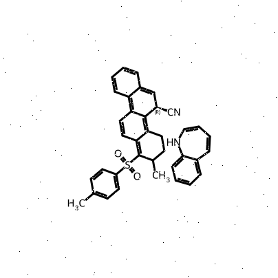 C1=CNc2ccccc2C=C1.Cc1ccc(S(=O)(=O)C2=c3ccc4c(c3CCC2C)[C@H](C#N)C=c2ccccc2=4)cc1